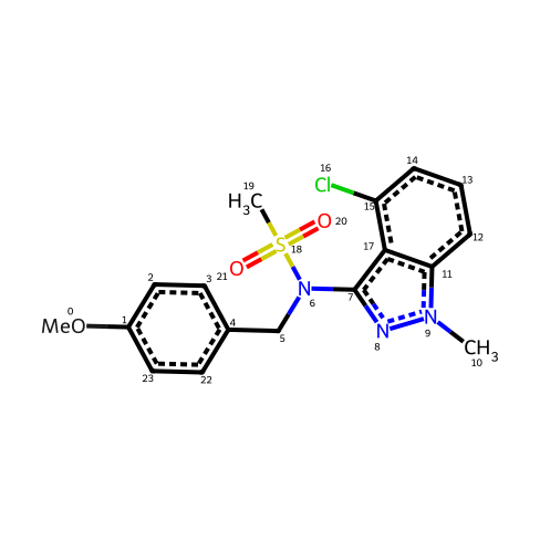 COc1ccc(CN(c2nn(C)c3cccc(Cl)c23)S(C)(=O)=O)cc1